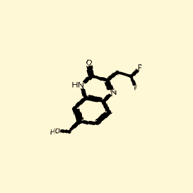 O=c1[nH]c2cc(CO)ccc2nc1CC(F)F